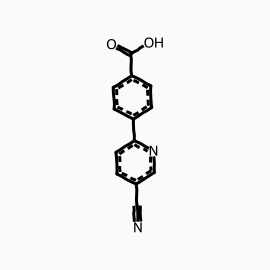 N#Cc1ccc(-c2ccc(C(=O)O)cc2)nc1